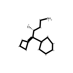 CC[C@H](CCN)C(=C1CCC1)C1CCCCC1